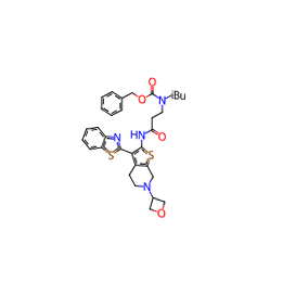 CCC(C)N(CCC(=O)Nc1sc2c(c1-c1nc3ccccc3s1)CCN(C1COC1)C2)C(=O)OCc1ccccc1